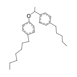 CCCCCCCc1ccc(OC(C)c2ccc(CCCCC)cc2)cc1